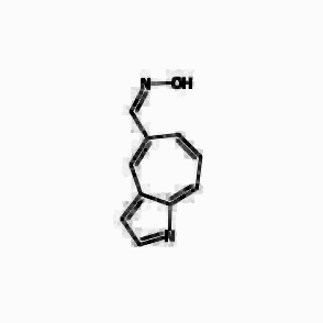 O/N=C\c1cccc2nccc-2c1